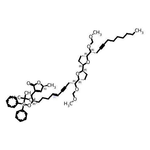 CCCCCCCC#CC[C@@H](OCOC)[C@H]1CC[C@H]([C@H]2CC[C@H]([C@@H](CC#C/C=C/CCC[C@H](CC3=C[C@H](C)OC3=O)O[Si](c3ccccc3)(c3ccccc3)C(C)(C)C)OCOC)O2)O1